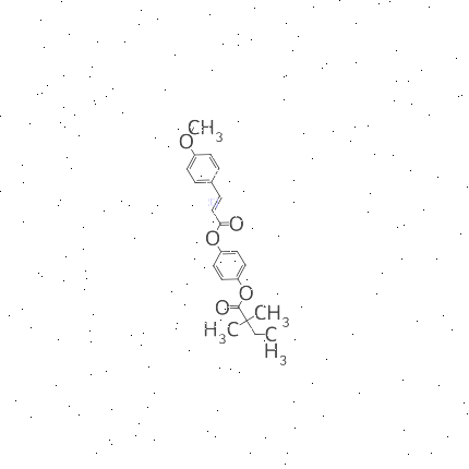 CCC(C)(C)C(=O)Oc1ccc(OC(=O)/C=C/c2ccc(OC)cc2)cc1